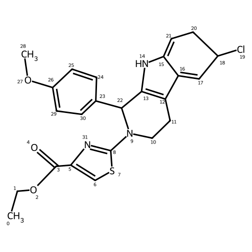 CCOC(=O)c1csc(N2CCc3c([nH]c4c3=CC(Cl)CC=4)C2c2ccc(OC)cc2)n1